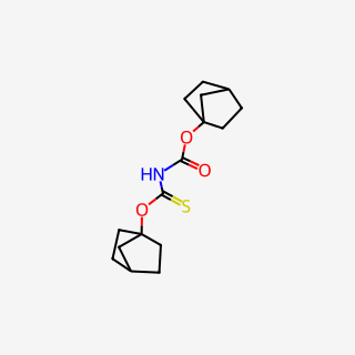 O=C(NC(=S)OC12CCC(CC1)C2)OC12CCC(CC1)C2